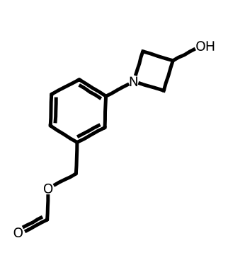 O=COCc1cccc(N2CC(O)C2)c1